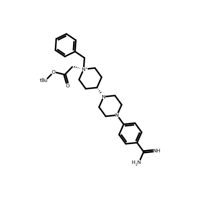 CC(C)(C)OC(=O)C[N@+]1(Cc2ccccc2)CC[C@H](N2CCN(c3ccc(C(=N)N)cc3)CC2)CC1